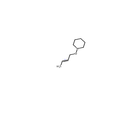 C/C=C/CON1CCCCC1